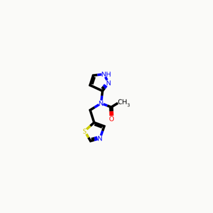 CC(=O)N(Cc1cncs1)c1cc[nH]n1